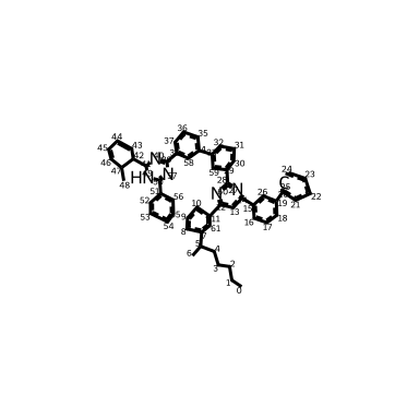 CCCCCC(C)c1cccc(-c2cc(-c3cccc(-c4ccccc4)c3)nc(-c3cccc(-c4cccc(C5=NC(C6C=CC=CC6C)NC(c6ccccc6)=N5)c4)c3)n2)c1